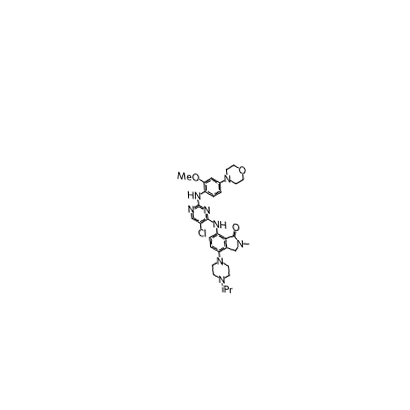 COc1cc(N2CCOCC2)ccc1Nc1ncc(Cl)c(Nc2ccc(N3CCN(C(C)C)CC3)c3c2C(=O)N(C)C3)n1